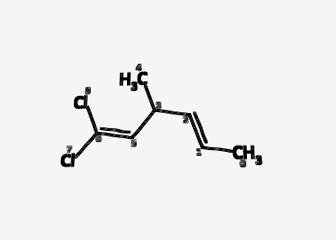 CC=CC(C)C=C(Cl)Cl